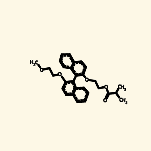 COCCOc1ccc2ccccc2c1-c1c(OCCOC(=O)C(C)C)ccc2ccccc12